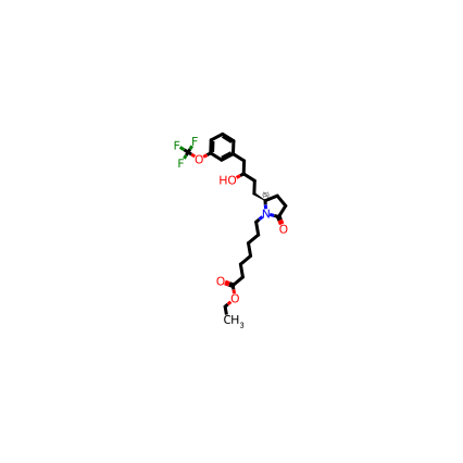 CCOC(=O)CCCCCCN1C(=O)CC[C@@H]1CCC(O)Cc1cccc(OC(F)(F)F)c1